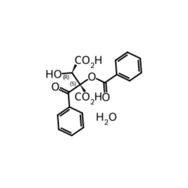 O.O=C(O[C@](C(=O)O)(C(=O)c1ccccc1)[C@@H](O)C(=O)O)c1ccccc1